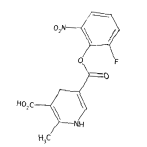 CC1=C(C(=O)O)CC(C(=O)Oc2c(F)cccc2[N+](=O)[O-])=CN1